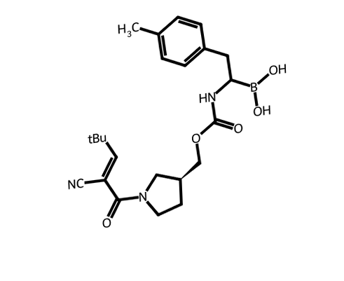 Cc1ccc(CC(NC(=O)OC[C@H]2CCN(C(=O)C(C#N)=CC(C)(C)C)C2)B(O)O)cc1